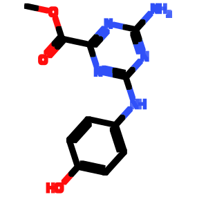 COC(=O)c1nc(N)nc(Nc2ccc(O)cc2)n1